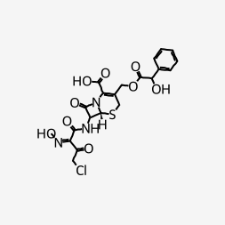 O=C(O)C1=C(COC(=O)C(O)c2ccccc2)CS[C@@H]2C(NC(=O)/C(=N\O)C(=O)CCl)C(=O)N12